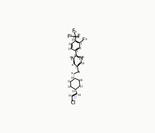 Fc1cc(-c2ncc(CC[C@H]3CC[C@H](/C=C/Cl)CC3)cn2)ccc1C(F)(F)F